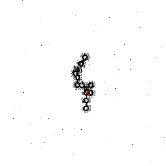 C1=CC(c2ccc(-c3ccc(N(c4ccccc4-c4ccccc4)C4C=Cc5c(cccc5-c5ccc6c(ccc7nc(-c8ccc(-c9ccccc9)cc8)oc76)c5)C4)cc3)cc2)=CCC1